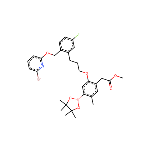 COC(=O)Cc1cc(C)c(B2OC(C)(C)C(C)(C)O2)cc1OCCCc1cc(F)ccc1COc1cccc(Br)n1